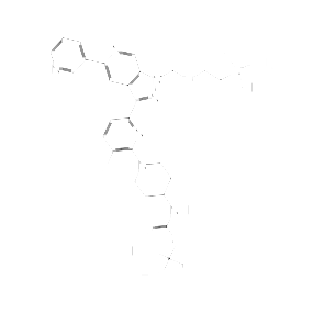 Cc1ccc(-c2nn(COCC[Si](C)(C)C)c3cnc(-c4cccnc4)cc23)nc1N1CCC(NC(=O)OC(C)(C)C)CC1